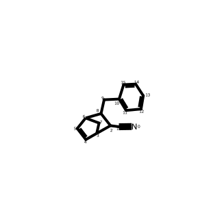 N#CC1C2C=CC(C2)C1Cc1ccccc1